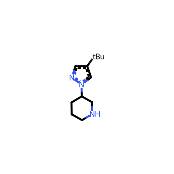 CC(C)(C)c1cnn(C2CCCNC2)c1